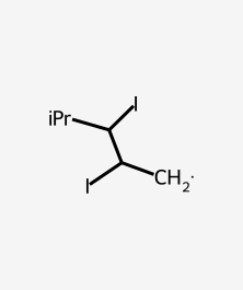 [CH2]C(I)C(I)C(C)C